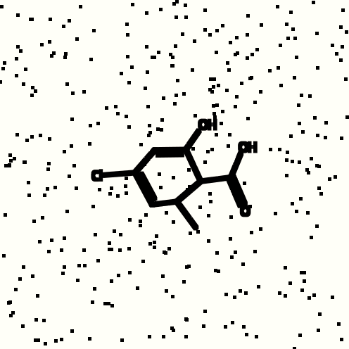 CC1C=C(Cl)C=C(O)C1C(=O)O